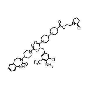 Nc1c(Cl)cc(C[C@@H](OC(=O)N2CCC(N3CCc4ccccc4NC3=O)CC2)C(=O)N2CCC(N3CCC(C(=O)OCCN4CCCC4=O)CC3)CC2)cc1C(F)(F)F